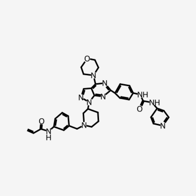 C=CC(=O)Nc1cccc(CN2CCCC(n3ncc4c(N5CCOCC5)nc(-c5ccc(NC(=O)Nc6ccncc6)cc5)nc43)C2)c1